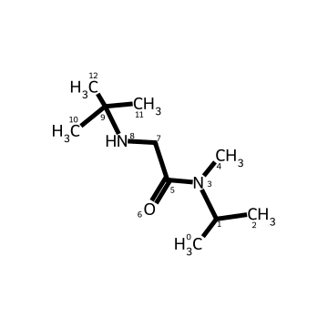 CC(C)N(C)C(=O)CNC(C)(C)C